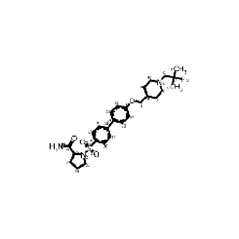 CC(C)(F)CN1CCC(COc2ccc(-c3ccc(S(=O)(=O)N4CCCC4C(N)=O)cc3)cc2)CC1